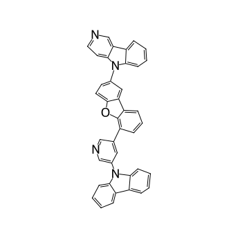 c1cc(-c2cncc(-n3c4ccccc4c4ccccc43)c2)c2oc3ccc(-n4c5ccccc5c5cnccc54)cc3c2c1